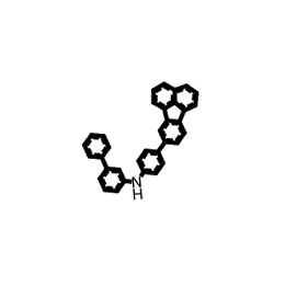 c1ccc(-c2cccc(Nc3ccc(-c4ccc5c(c4)-c4cccc6cccc-5c46)cc3)c2)cc1